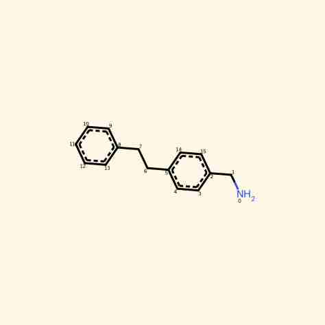 NCc1ccc(CCc2ccccc2)cc1